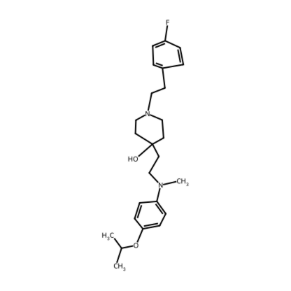 CC(C)Oc1ccc(N(C)CCC2(O)CCN(CCc3ccc(F)cc3)CC2)cc1